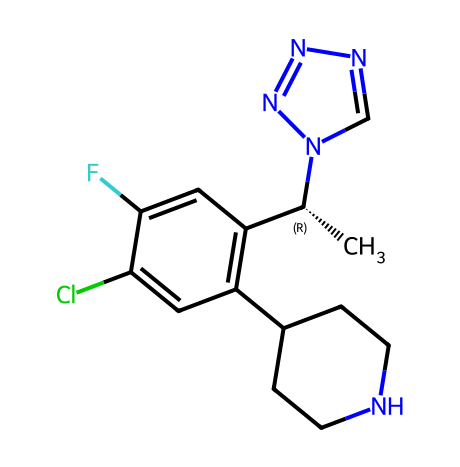 C[C@H](c1cc(F)c(Cl)cc1C1CCNCC1)n1cnnn1